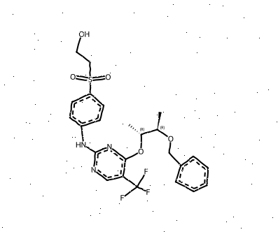 C[C@@H](OCc1ccccc1)[C@@H](C)Oc1nc(Nc2ccc(S(=O)(=O)CCO)cc2)ncc1C(F)(F)F